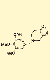 COc1cc(CN2CCc3occc3C2)cc(OC)c1OC